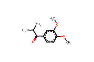 COc1ccc(C(=O)C(C)C)cc1OC